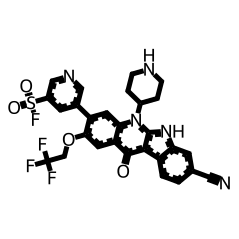 N#Cc1ccc2c(c1)[nH]c1c2c(=O)c2cc(OCC(F)(F)F)c(-c3cncc(S(=O)(=O)F)c3)cc2n1C1CCNCC1